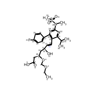 CCOCO[C@@H](CC(=O)O)C[C@H](O)/C=C/c1c(-c2ccc(F)cc2)nc(N(C)S(C)(=O)=O)nc1C(C)C